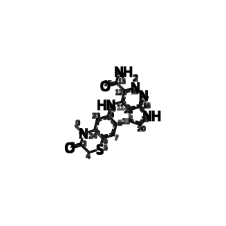 CN1C(=O)CSc2ccc(Nc3c(C(N)=O)nnc4[nH]ccc34)cc21